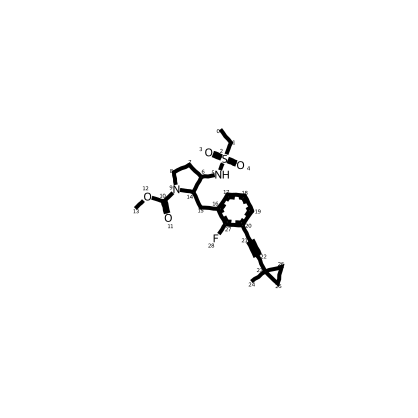 CCS(=O)(=O)NC1CCN(C(=O)OC)C1Cc1cccc(C#CC2(C)CC2)c1F